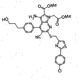 COC(=O)Cn1c(C(=O)OC)c(N)c2c(-c3ccc(CCCO)cc3)c(C#N)c(SCc3csc(-c4ccc(Cl)cc4)n3)nc21